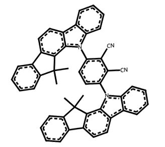 CC1(C)c2ccccc2-c2ccc3c4ccccc4n(-c4ccc(-n5c6ccccc6c6ccc7c(c65)C(C)(C)c5ccccc5-7)c(C#N)c4C#N)c3c21